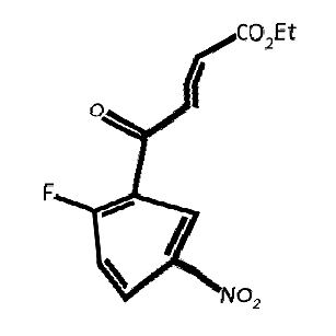 CCOC(=O)C=CC(=O)c1cc([N+](=O)[O-])ccc1F